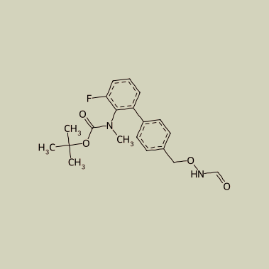 CN(C(=O)OC(C)(C)C)c1c(F)cccc1-c1ccc(CONC=O)cc1